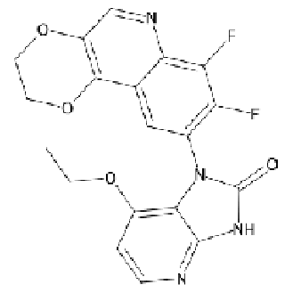 CCOc1ccnc2[nH]c(=O)n(-c3cc4c5c(cnc4c(F)c3F)OCCO5)c12